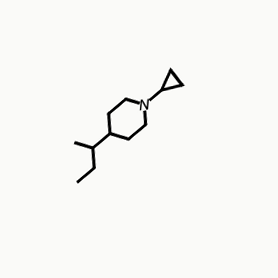 CCC(C)C1CCN(C2CC2)CC1